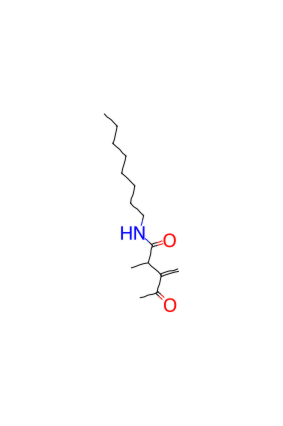 C=C(C(C)=O)C(C)C(=O)NCCCCCCCC